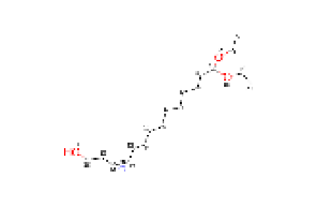 CCOC(CCCCCCCCC/C=C\CCO)OCC